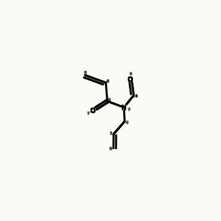 C=CCN([C]=O)C(=O)C=C